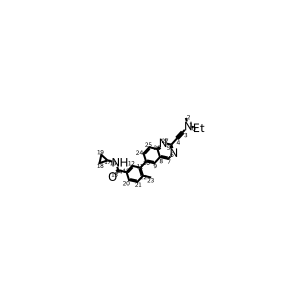 CCN(C)C#Cc1ncc2cc(-c3cc(C(=O)NC4CC4)ccc3C)ccc2n1